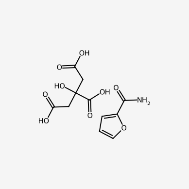 NC(=O)c1ccco1.O=C(O)CC(O)(CC(=O)O)C(=O)O